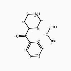 CC(C)(C)OC=O.O=C(c1ccccc1)C1CCNCC1